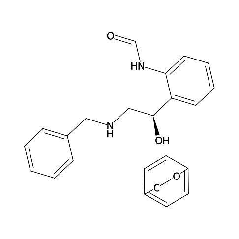 O=CNc1ccccc1[C@@H](O)CNCc1ccccc1.c1cc2ccc1CO2